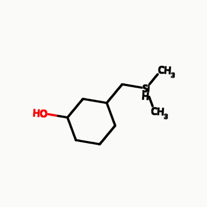 C[SiH](C)CC1CCCC(O)C1